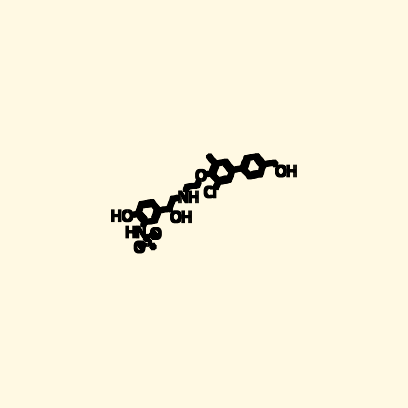 Cc1cc(-c2ccc(CO)cc2)cc(Cl)c1OCCNC[C@H](O)c1ccc(O)c(NS(C)(=O)=O)c1